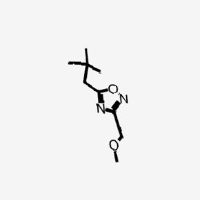 COCc1noc(CC(C)(C)C)n1